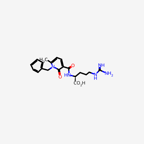 Cc1ccc(C(=O)N[C@@H](CCCNC(=N)N)C(=O)O)c(=O)n1Cc1ccccc1